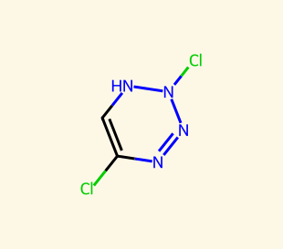 ClC1=CNN(Cl)N=N1